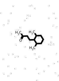 CC(=O)CCC1C(C)CCCC1C